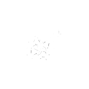 CCC(C)[NH+](C)C(C)CC.Fc1c(F)c(F)c([B-](c2c(F)c(F)c(F)c(F)c2F)(c2c(F)c(F)c(F)c(F)c2F)c2c(F)c(F)c(F)c(F)c2F)c(F)c1F